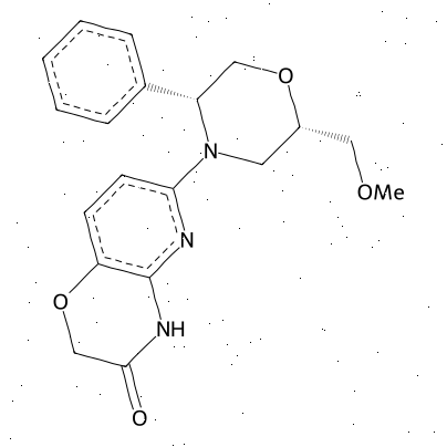 COC[C@@H]1CN(c2ccc3c(n2)NC(=O)CO3)[C@H](c2ccccc2)CO1